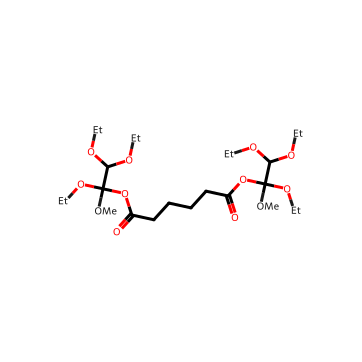 CCOC(OCC)C(OC)(OCC)OC(=O)CCCCC(=O)OC(OC)(OCC)C(OCC)OCC